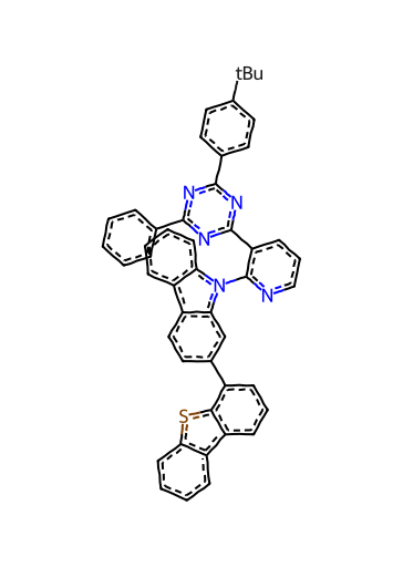 CC(C)(C)c1ccc(-c2nc(-c3ccccc3)nc(-c3cccnc3-n3c4ccccc4c4ccc(-c5cccc6c5sc5ccccc56)cc43)n2)cc1